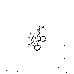 COCC(C)(OC)c1ccccc1Oc1ncccc1[N+](=O)[O-]